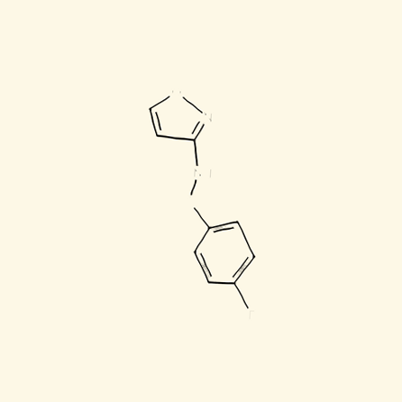 Fc1ccc(SNc2ccon2)cc1